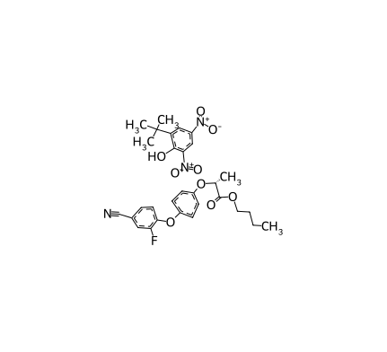 CC(C)(C)c1cc([N+](=O)[O-])cc([N+](=O)[O-])c1O.CCCCOC(=O)[C@@H](C)Oc1ccc(Oc2ccc(C#N)cc2F)cc1